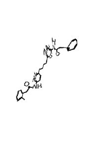 Cc1ccccc1CC(=O)Nc1ccc(CCCCc2nnc(NC(=O)Cc3ccccc3)s2)nn1